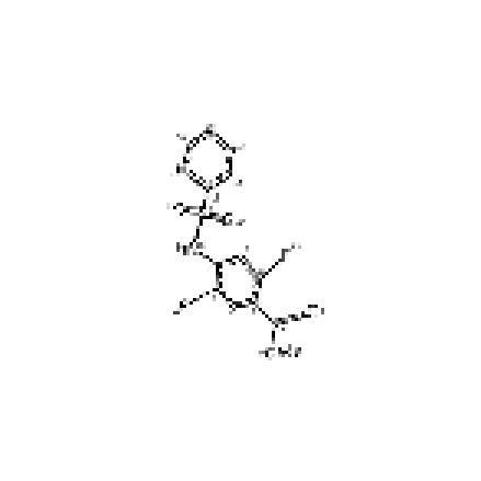 COC(=O)c1cc(F)c(NS(=O)(=O)c2cc[c]cn2)cc1F